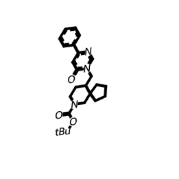 CC(C)(C)OC(=O)N1CCC(Cn2cnc(-c3ccccc3)cc2=O)C2(CCCC2)C1